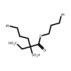 CC(C)CCCOC(=O)C(CCCC(C)C)(CC(=O)O)S(=O)(=O)O